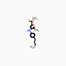 CCCCc1ccc(Nc2cc(C(=S)OC)sc2C)cc1